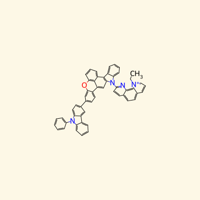 CC[n+]1cccc2ccc3ccc(-n4c5ccccc5c5c6cccc7c6c(cc54)-c4ccc(-c5ccc6c(c5)c5ccccc5n6-c5ccccc5)cc4O7)nc3c21